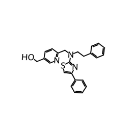 OCc1ccc(CN(CCc2ccccc2)c2nc(-c3ccccc3)cs2)nc1